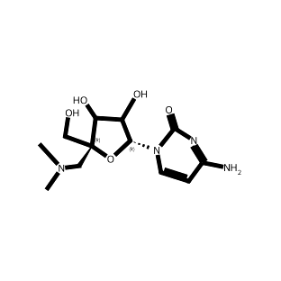 CN(C)C[C@]1(CO)O[C@@H](n2ccc(N)nc2=O)C(O)C1O